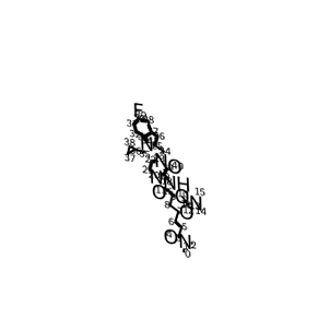 CN(C)C(=O)C=CCCC(OC(=O)N(C)C)C(=O)Nc1nccn(Cc2cc3cc(F)ccc3n2CC2CC2)c1=O